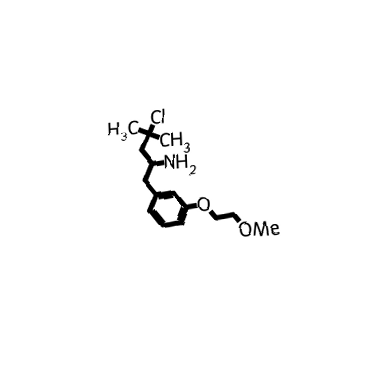 COCCOc1cccc(CC(N)CC(C)(C)Cl)c1